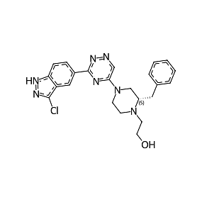 OCCN1CCN(c2cnnc(-c3ccc4[nH]nc(Cl)c4c3)n2)C[C@@H]1Cc1ccccc1